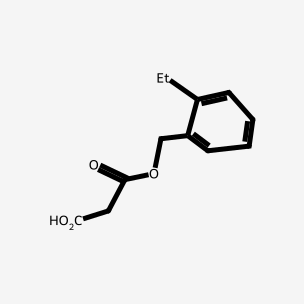 CCc1ccccc1COC(=O)CC(=O)O